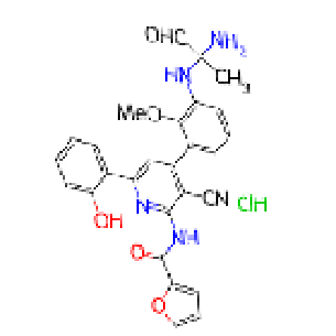 COc1c(N[C@](C)(N)C=O)cccc1-c1cc(-c2ccccc2O)nc(NC(=O)c2ccco2)c1C#N.Cl